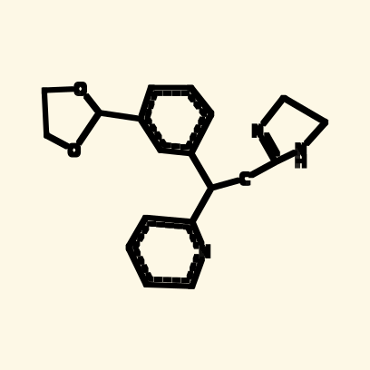 c1ccc(C(CC2=NCCN2)c2cccc(C3OCCO3)c2)nc1